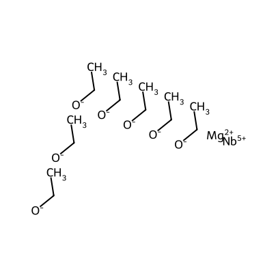 CC[O-].CC[O-].CC[O-].CC[O-].CC[O-].CC[O-].CC[O-].[Mg+2].[Nb+5]